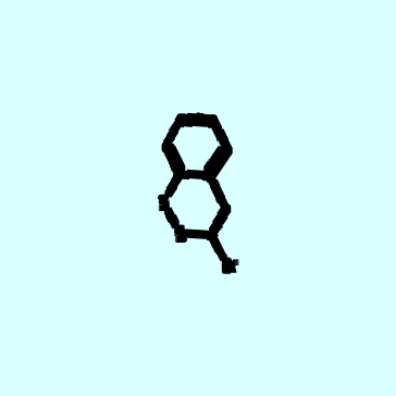 BrC1Cc2ccccc2SS1